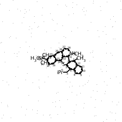 Cc1c2c(c(CC(C)C)c3ccccc13)Sc1c3ccc([Si](C)(C)C)cc3cc3cc[n+](C)c-2c13